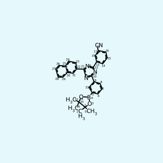 CC1(C)OB(c2cccc(-c3nc(-c4cccc(C#N)c4)nc(-c4ccc5ccccc5c4)n3)c2)OC1(C)C